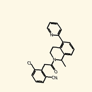 CC1c2cccc(-c3ccccn3)c2CCN1C(=O)Cc1c(Cl)cccc1C#N